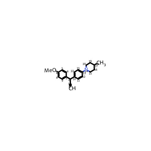 C#CC(c1ccc(OC)cc1)c1ccc(N2CCC(C)CC2)cc1